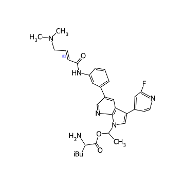 CCC(C)C(N)C(=O)OC(C)n1cc(-c2ccnc(F)c2)c2cc(-c3cccc(NC(=O)/C=C/CN(C)C)c3)cnc21